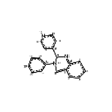 C1=c2ccccc2=NC(c2ccncc2)N1c1ccccc1